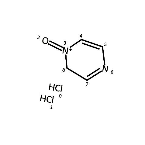 Cl.Cl.O=[N+]1C=CN=CC1